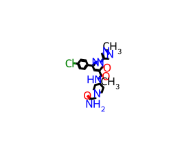 Cn1cc(-n2nc(-c3ccc(Cl)cc3)cc(C(=O)NC3(C)CCN(CC(N)=O)CC3)c2=O)cn1